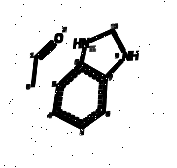 CC=O.c1ccc2c(c1)NCN2